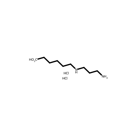 Cl.Cl.NCCCNCCCCCC(=O)O